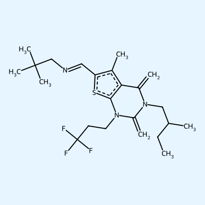 C=C1c2c(sc(/C=N/CC(C)(C)C)c2C)N(CCC(F)(F)F)C(=C)N1CC(C)CC